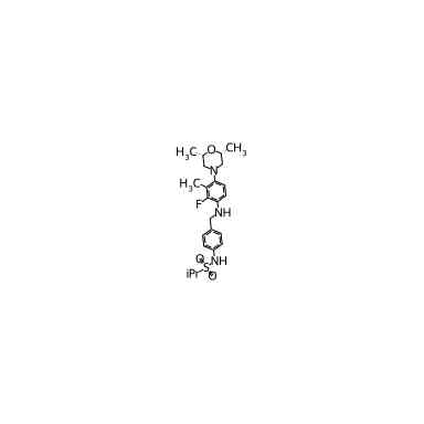 Cc1c(N2C[C@@H](C)O[C@@H](C)C2)ccc(NCc2ccc(NS(=O)(=O)C(C)C)cc2)c1F